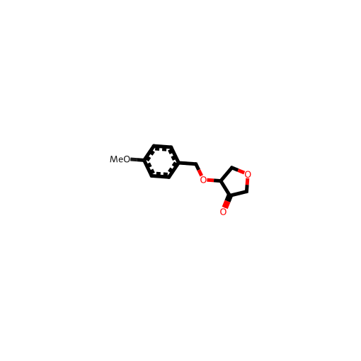 COc1ccc(COC2COCC2=O)cc1